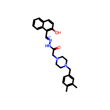 Cc1ccc(CN2CCN(CC(=O)N/N=C/c3c(O)ccc4ccccc34)CC2)cc1C